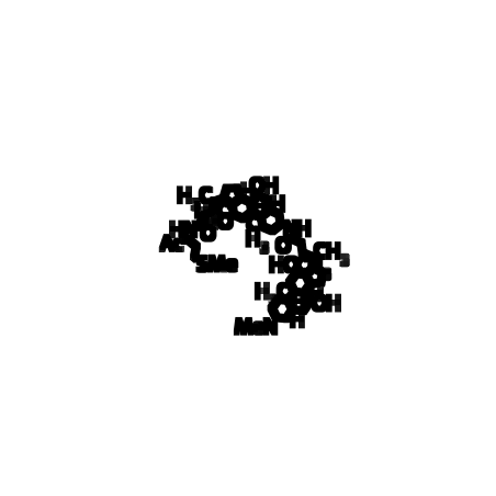 CN[C@@H]1CCC2(C)C3CC(O)C4(C)C(C(C)CCC(=O)N[C@@H]5CCC6(C)C7CC(O)C8(C)C(C(C)CCC(=O)N[C@@H](CCSC)C(C)=O)CC[C@H]8[C@H]7[C@@H](O)C[C@@H]6C5)CC[C@H]4[C@H]3[C@@H](O)C[C@@H]2C1